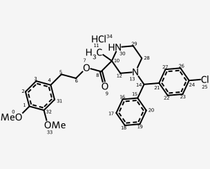 COc1ccc(CCOC(=O)C2(C)CN(C(c3ccccc3)c3ccc(Cl)cc3)CCN2)cc1OC.Cl